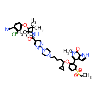 CCS(=O)(=O)c1ccc(OC(CCCCN2CCN(c3ncc(C(=O)NC4C(C)(C)C(Oc5ccc(C#N)c(Cl)c5)C4(C)C)cn3)CC2)C2CC2)c(-c2cn(C)c(=O)c3[nH]ccc23)c1